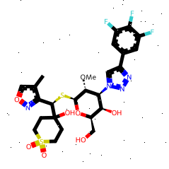 CO[C@@H]1[C@@H](n2cc(-c3cc(F)c(F)c(F)c3)nn2)[C@@H](O)[C@@H](CO)O[C@H]1S[C@H](c1nocc1C)C1(O)CCS(=O)(=O)CC1